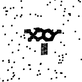 CCc1ccc(OP(=O)(O)O)c(C(C)(C)C)c1.[LiH].[LiH].[LiH]